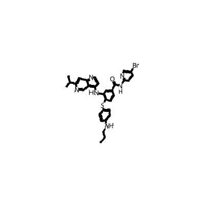 CCCNc1ccc(Sc2ccc(C(=O)Nc3ccc(Br)cn3)cc2Nc2ccnc3cc(C(C)C)ncc23)cc1